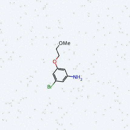 COCCOc1cc(N)cc(Br)c1